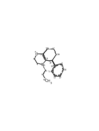 CCCN1CCOC2=C1C(c1ccccc1)CCC2